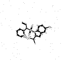 C=CC(c1ccccn1)S(=O)(=O)n1c(C(C)C(=O)O)cc2cc(Cl)ccc21